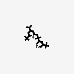 CC(C)c1cc(CC(C)(C)c2cncc(C(C)(C)C)c2)nc(C(C)(C)C)c1